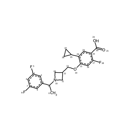 CC(c1cc(F)cc(F)c1)N1CC(COc2cc(F)c(C(=O)O)cc2C2CC2)C1